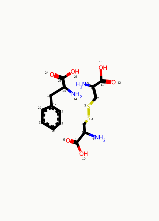 NC(CSSCC(N)C(=O)O)C(=O)O.NC(Cc1ccccc1)C(=O)O